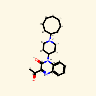 CC(=O)c1nc2ccccc2n(C2CCN(C3CCCCCCC3)CC2)c1=O